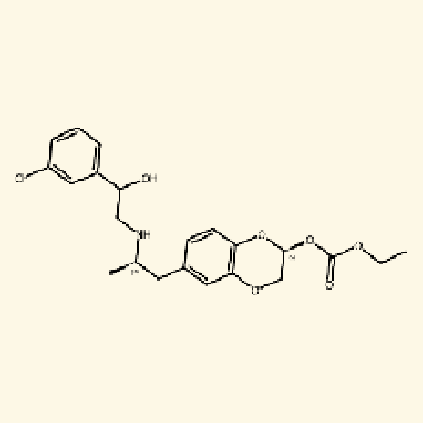 CCOC(=O)O[C@H]1COc2cc(C[C@@H](C)NCC(O)c3cccc(Cl)c3)ccc2O1